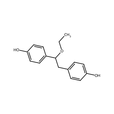 CCOC(Cc1ccc(O)cc1)c1ccc(O)cc1